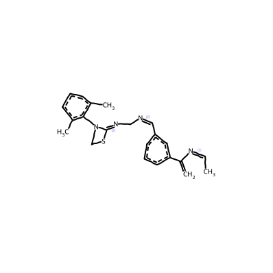 C=C(/N=C\C)c1cccc(/C=N\C/N=C2\SCN2c2c(C)cccc2C)c1